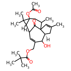 CC(=O)O[C@@]12CC(C)C34C=C(C)C[C@H]3C(O)C(COC(=O)C(C)(C)C)=C[C@H](C4=O)[C@@H]1C2(C)C